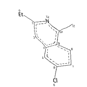 CCc1cc2cc(Cl)ccc2c(C)n1